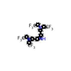 FC(F)(F)c1cccc(-n2c3ccc(-c4ccc5[nH]c6ccc(-c7ccc8c(c7)c7cc(C(F)(F)F)ccc7n8-c7cccc(C(F)(F)F)c7)cc6c5c4)cc3c3cc(C(F)(F)F)ccc32)c1